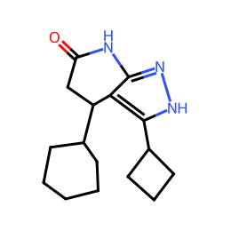 O=C1CC(C2CCCCC2)c2c(n[nH]c2C2CCC2)N1